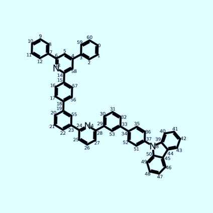 c1ccc(-c2cc(-c3ccccc3)nc(-c3ccc(-c4cccc(-c5cccc(-c6cccc(-c7ccc(-n8c9ccccc9c9ccccc98)cc7)c6)n5)c4)cc3)c2)cc1